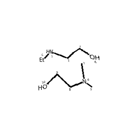 CCNCCO.CN(C)CCO